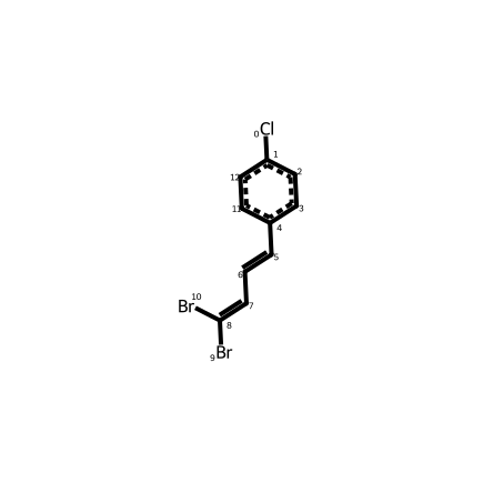 Clc1ccc(C=CC=C(Br)Br)cc1